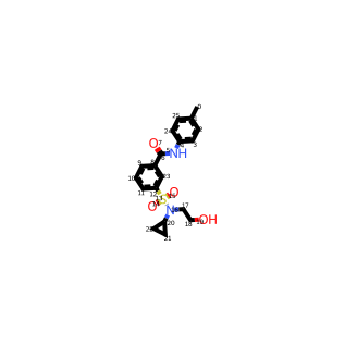 Cc1ccc(NC(=O)c2cccc(S(=O)(=O)N(CCO)C3CC3)c2)cc1